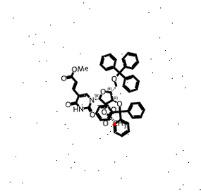 COC(=O)C=Cc1cn([C@@H]2O[C@H](COC(c3ccccc3)(c3ccccc3)c3ccccc3)[C@@H](OC(c3ccccc3)(c3ccccc3)c3ccccc3)[C@H]2OS(C)(=O)=O)c(=O)[nH]c1=O